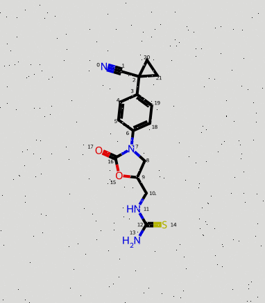 N#CC1(c2ccc(N3CC(CNC(N)=S)OC3=O)cc2)CC1